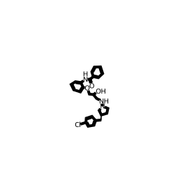 O=C(Nc1ccccc1OCC(O)CNN1CC[C@@H](Cc2ccc(Cl)cc2)C1)c1ccccc1